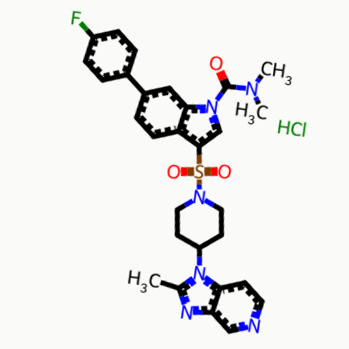 Cc1nc2cnccc2n1C1CCN(S(=O)(=O)c2cn(C(=O)N(C)C)c3cc(-c4ccc(F)cc4)ccc23)CC1.Cl